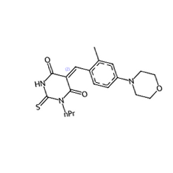 CCCN1C(=O)/C(=C\c2ccc(N3CCOCC3)cc2C)C(=O)NC1=S